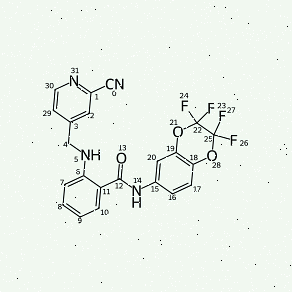 N#Cc1cc(CNc2ccccc2C(=O)Nc2ccc3c(c2)OC(F)(F)C(F)(F)O3)ccn1